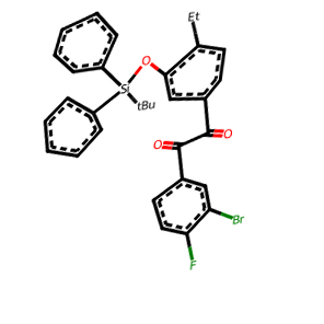 CCc1ccc(C(=O)C(=O)c2ccc(F)c(Br)c2)cc1O[Si](c1ccccc1)(c1ccccc1)C(C)(C)C